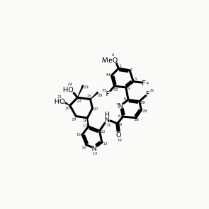 COc1cc(F)c(-c2nc(C(=O)Nc3cnccc3[C@H]3C[C@@H](O)[C@](C)(O)[C@@H](C)C3)ccc2F)c(F)c1